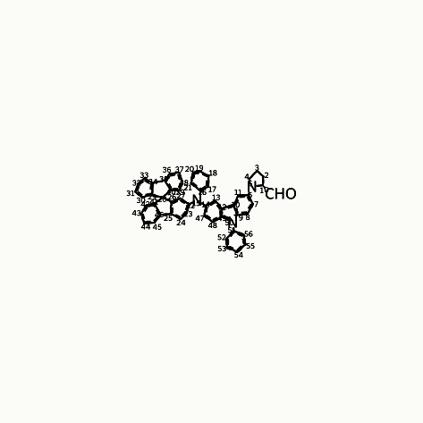 O=C[C@@H]1CCCN1c1ccc2c(c1)c1cc(N(c3ccccc3)c3ccc4c(c3)C3(c5ccccc5-c5ccccc53)c3ccccc3-4)ccc1n2-c1ccccc1